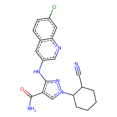 N#CC1CCCCC1n1cc(C(N)=O)c(Nc2cnc3cc(Cl)ccc3c2)n1